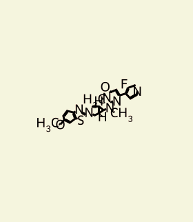 COc1ccc2nc(N3C[C@@H]4C(N(C)c5nc(-c6ccncc6F)cc(=O)n5C)[C@@H]4C3)sc2c1